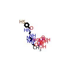 C[C@H](Cn1cnc2c(NCCNC(=O)C3CCC(S)CC3)ncnc21)OCP(=O)(O)OP(=O)(O)OP(=O)(O)O